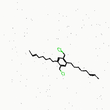 C/C=C/CCCCCc1cc(CCl)c(CCCCC/C=C/C)cc1CCl